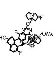 COC[C@@]12CC[C@@H](CN(c3nc(OC[C@@]45CCCN4C[C@H](F)C5)nc4c(F)c(-c5cc(O)cc6ccc(F)c(C#C[Si](C(C)C)(C(C)C)C(C)C)c56)ncc34)C1)N2